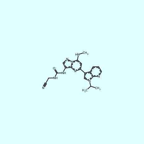 CNc1cc(-c2cn(C(C)C)c3ncccc23)nc2c(NC(=O)NCC#N)cnn12